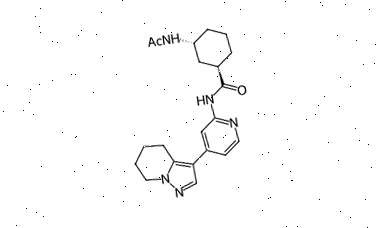 CC(=O)N[C@@H]1CCC[C@@H](C(=O)Nc2cc(-c3cnn4c3CCCC4)ccn2)C1